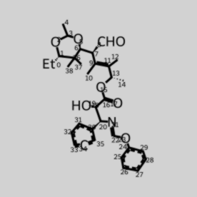 CC[C@@H]1OC(C)O[C@@H]([C@@H](C=O)/C(C)=C(\C)[C@H](C)OC(=O)[C@H](O)[C@@H](N=COc2ccccc2)c2ccccc2)C1(C)C